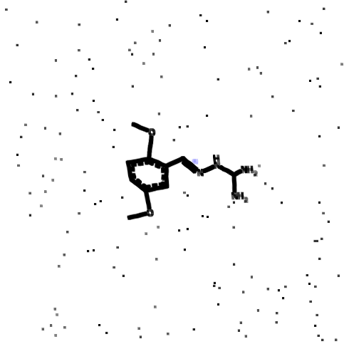 COc1ccc(OC)c(/C=N/NC(N)N)c1